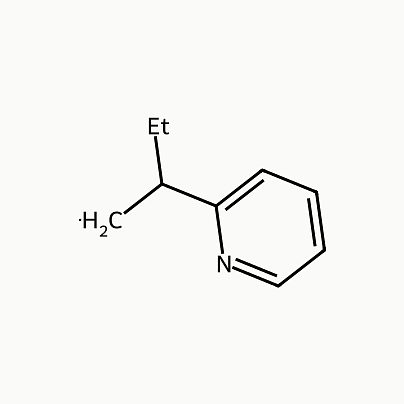 [CH2]C(CC)c1ccccn1